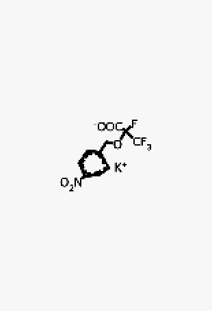 O=C([O-])C(F)(OCc1ccc([N+](=O)[O-])cc1)C(F)(F)F.[K+]